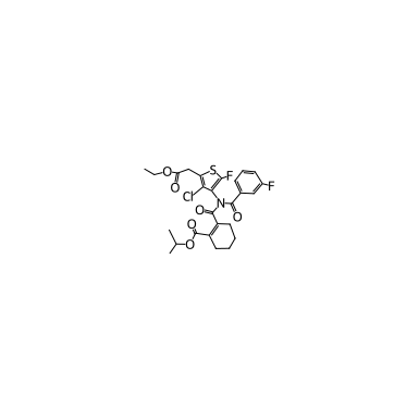 CCOC(=O)Cc1sc(F)c(N(C(=O)C2=C(C(=O)OC(C)C)CCCC2)C(=O)c2cccc(F)c2)c1Cl